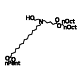 CCCCCCCCC(CCCCCCCC)OC(=O)CCCCN(CCO)CCCCCCCCCCCCCCC(=O)OCCCCC